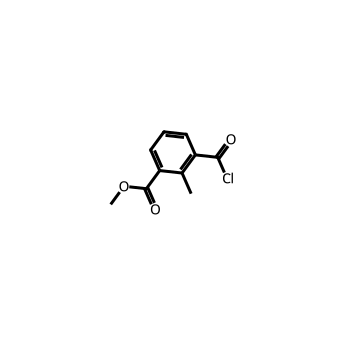 COC(=O)c1cccc(C(=O)Cl)c1C